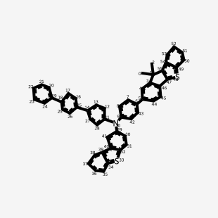 CC1(C)c2cc(-c3ccc(N(c4ccc(-c5ccc(-c6ccccc6)cc5)cc4)c4ccc5sc6ccccc6c5c4)cc3)ccc2-c2sc3ccccc3c21